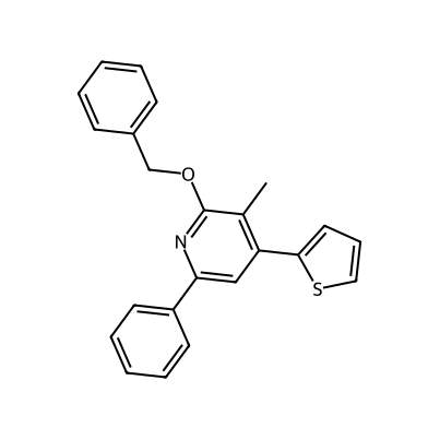 Cc1c(-c2cccs2)cc(-c2ccccc2)nc1OCc1ccccc1